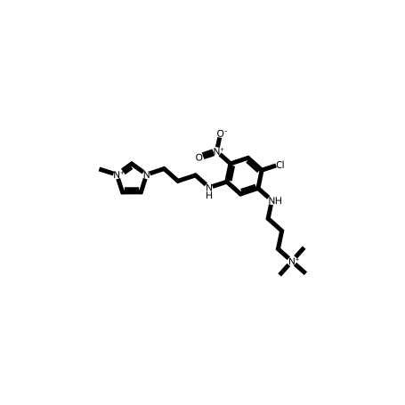 C[n+]1ccn(CCCNc2cc(NCCC[N+](C)(C)C)c(Cl)cc2[N+](=O)[O-])c1